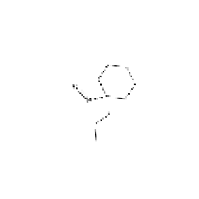 CCCC1(P=O)CCCCC1